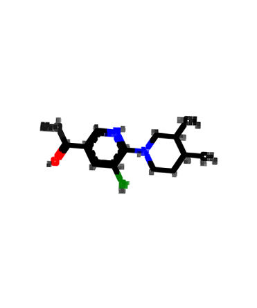 COC(=O)c1cnc(N2CCC(C)C(C)C2)c(Br)c1